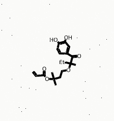 C=CC(=O)OC(C)(C)CCOC(C)(CC)C(=O)c1ccc(O)c(O)c1